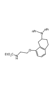 CCCN(CCC)C1CCc2cccc(OCCNC(=O)OCC)c2C1